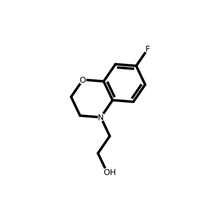 OCCN1CCOc2cc(F)ccc21